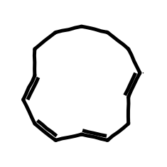 [C]1=C/C/C=C/C=C\C=C\CCCCC/1